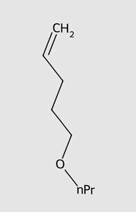 [CH2]CCOCCCC=C